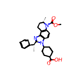 COC(=O)N1c2ccc3c(nc([C@H](C)c4ccccc4)n3C3CCC(C(=O)O)CC3)c2CC[C@@H]1C